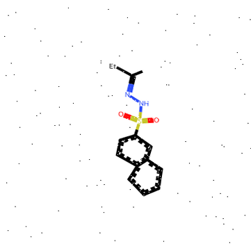 CCC(C)=NNS(=O)(=O)c1ccc2ccccc2c1